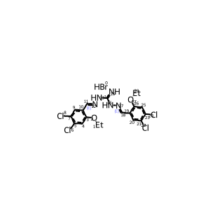 Br.CCOc1cc(Cl)c(Cl)cc1/C=N/NC(=N)N/N=C/c1cc(Cl)c(Cl)cc1OCC